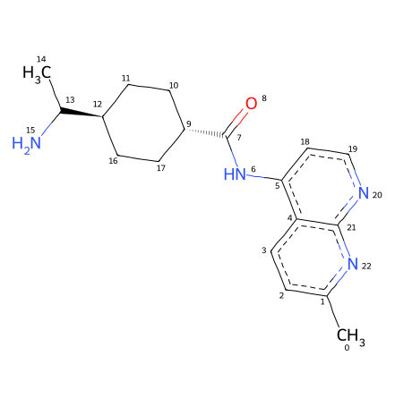 Cc1ccc2c(NC(=O)[C@H]3CC[C@H](C(C)N)CC3)ccnc2n1